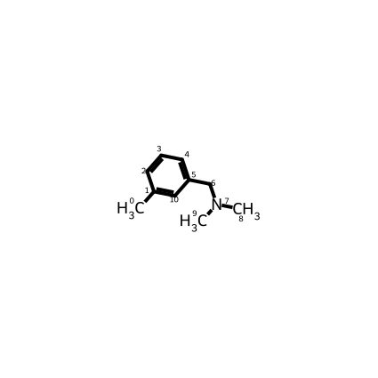 Cc1c[c]cc(CN(C)C)c1